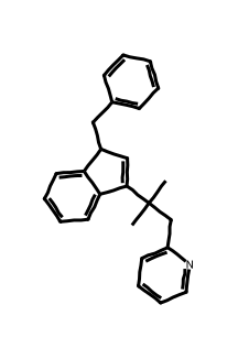 CC(C)(Cc1ccccn1)C1=CC(Cc2ccccc2)c2ccccc21